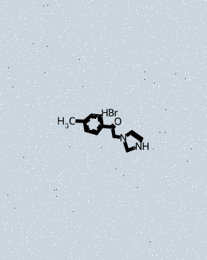 Br.Cc1ccc(C(=O)CN2C=CNC2)cc1